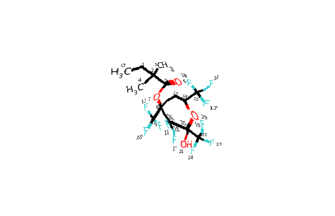 CCC(C)(C)C(=O)OC1(C(F)(F)F)CC(C(F)(F)F)OC(O)(C(F)(F)F)C1(F)F